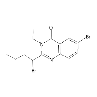 CCCC(Br)c1nc2ccc(Br)cc2c(=O)n1CC